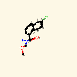 COCNC(=O)c1cccc2cc(Cl)ccc12